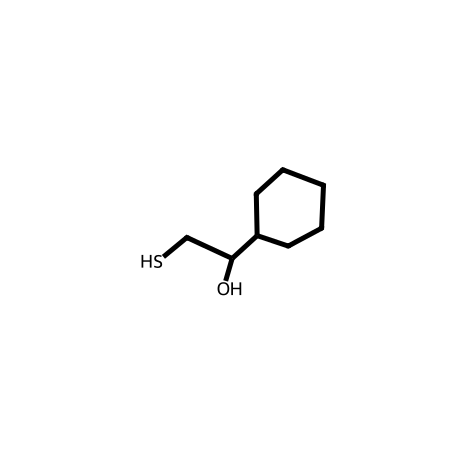 OC(CS)C1CCCCC1